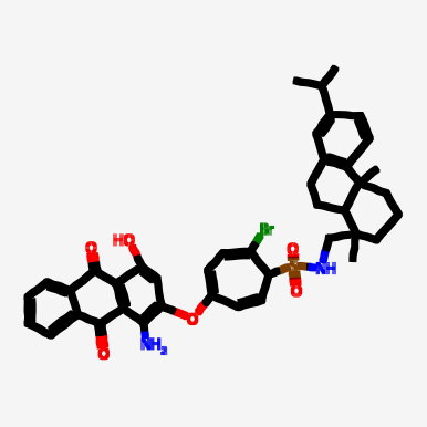 CC(C)c1ccc2c(c1)CCC1C(C)(CNS(=O)(=O)C3C=CC(Oc4cc(O)c5c(c4N)C(=O)c4ccccc4C5=O)=CC=C3Br)CCCC21C